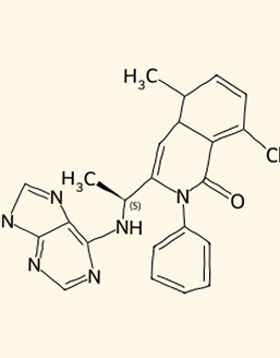 CC1C=CC(Cl)=C2C(=O)N(c3ccccc3)C([C@H](C)Nc3ncnc4[nH]cnc34)=CC21